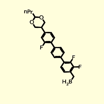 BCc1ccc(-c2ccc(-c3ccc(C4COC(CCC)OC4)cc3F)cc2)c(F)c1F